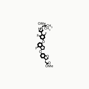 COC(=O)C[C@@H]1COc2cc(O[C@@H]3CCc4c(Oc5cc(F)c(-c6cnn(CC(C)(C)OC)c6)c(F)c5)ccc(F)c43)ccc21